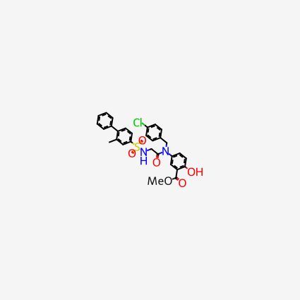 COC(=O)c1cc(N(Cc2ccc(Cl)cc2)C(=O)CNS(=O)(=O)c2ccc(-c3ccccc3)c(C)c2)ccc1O